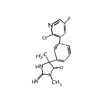 CN1C(=N)NC(C)(c2cccc(-c3cc(F)cnc3Cl)c2)C1=O